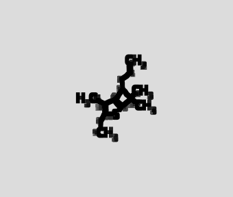 C=CCC1c2c(sc(CC)c2C)C1(C)C